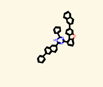 c1ccc(-c2ccc3cc(C4=NC(c5cccc6oc7cc(-c8ccc9ccccc9c8)ccc7c56)=NC(c5ccccc5)N4)ccc3c2)cc1